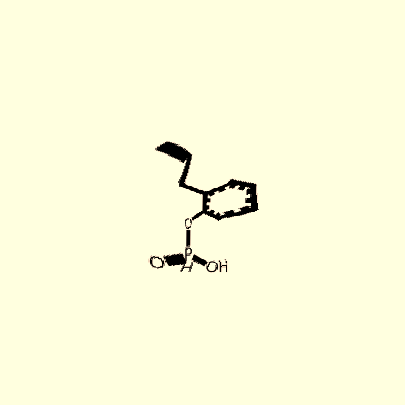 C=CCc1ccccc1O[PH](=O)O